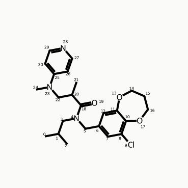 CC(C)CN(Cc1cc(Cl)c2c(c1)OCCCO2)C(=O)C(C)CN(C)c1ccncc1